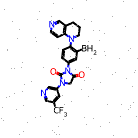 Bc1cc(N2C(=O)CN(c3cncc(C(F)(F)F)c3)C2=O)ccc1N1CCCc2cnccc21